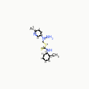 CC(=O)c1ccc(N(N)CSC(=S)Nc2ccccc2C)cn1